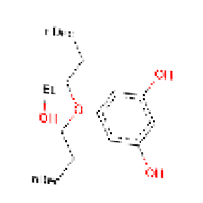 CCCCCCCCCCCCOCCCCCCCCCCCC.CCO.Oc1cccc(O)c1